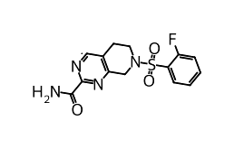 NC(=O)c1n[c]c2c(n1)CN(S(=O)(=O)c1ccccc1F)CC2